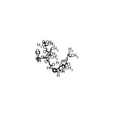 CCCC(C(=O)COC(C)(CC)C(C)=O)N(C[C@@H](COc1nsnc1N1CCOCC1)OC(=O)CCC(=O)Nc1ccc2c(c1)/C(=C/c1[nH]c(C)c(C(=O)NCCN(CC)CC)c1C)C(=O)N2)C(C)(C)C